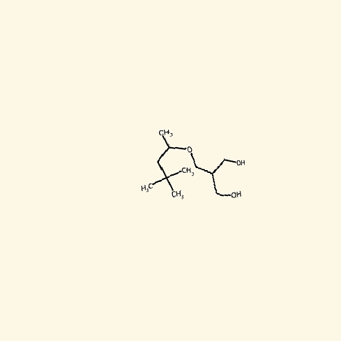 CC(CC(C)(C)C)OCC(CO)CO